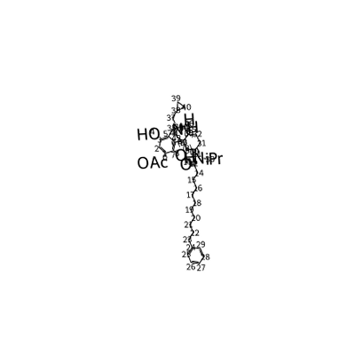 CC(=O)Oc1cc(O)c2c3c1O[C@H]1[C@H](N(C(=O)CCCCCCCCCCc4ccccc4)C(C)C)CC[C@H]4[C@@H](C2)N(CC2CC2)CC[C@@]341